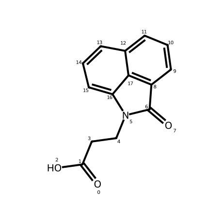 O=C(O)CCN1C(=O)c2cccc3cccc1c23